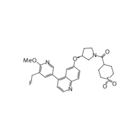 COc1ncc(-c2ccnc3ccc(O[C@H]4CCN(C(=O)C5CCS(=O)(=O)CC5)C4)cc23)cc1CF